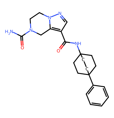 NC(=O)N1CCn2ncc(C(=O)NC34CCC(c5ccccc5)(CC3)CC4)c2C1